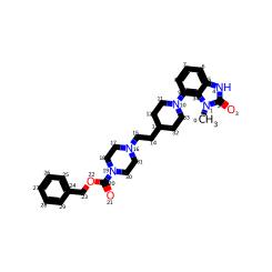 Cn1c(=O)[nH]c2cccc(N3CCC(CCN4CCN(C(=O)OCc5ccccc5)CC4)CC3)c21